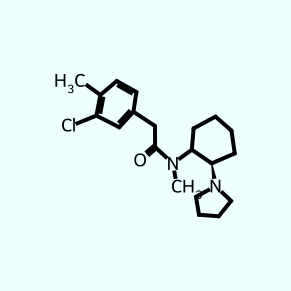 Cc1ccc(CC(=O)N(C)C2CCCC[C@H]2N2CCCC2)cc1Cl